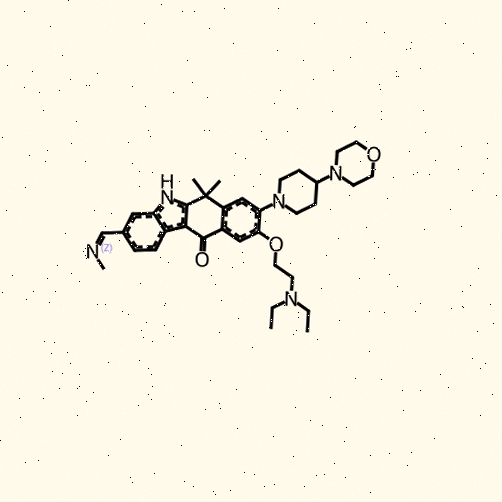 CCN(CC)CCOc1cc2c(cc1N1CCC(N3CCOCC3)CC1)C(C)(C)c1[nH]c3cc(/C=N\C)ccc3c1C2=O